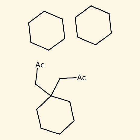 C1CCCCC1.C1CCCCC1.CC(=O)CC1(CC(C)=O)CCCCC1